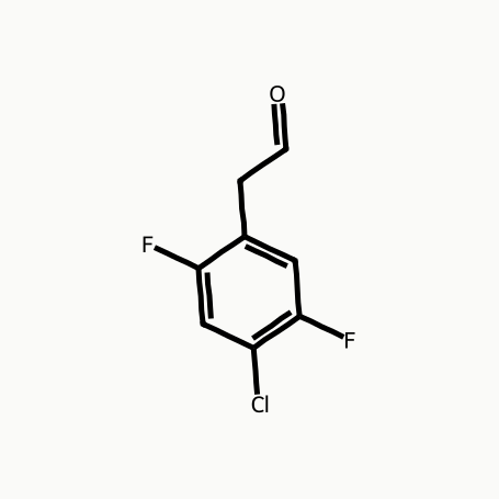 O=CCc1cc(F)c(Cl)cc1F